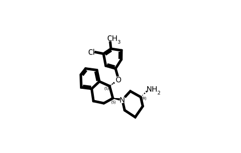 Cc1ccc(O[C@H]2c3ccccc3CC[C@@H]2N2CCC[C@@H](N)C2)cc1Cl